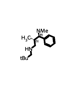 [CH2-][NH2+][C@@H](c1ccccc1)[C@@H](C)CNCC(C)(C)C